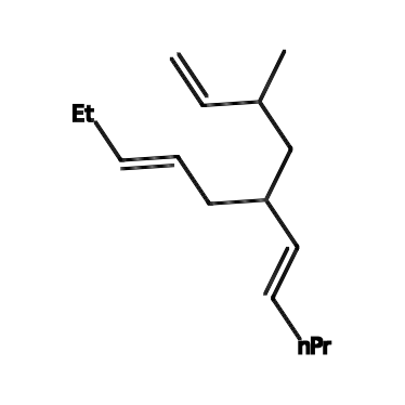 C=CC(C)CC(C=CCCC)CC=CCC